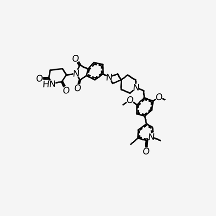 COc1cc(-c2cc(C)c(=O)n(C)c2)cc(OC)c1CN1CCC2(CC1)CN(c1ccc3c(c1)C(=O)N(C1CCC(=O)NC1=O)C3=O)C2